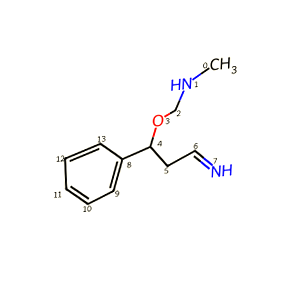 CNCOC(CC=N)c1ccccc1